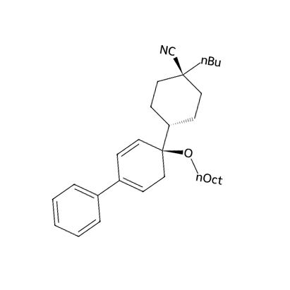 CCCCCCCCO[C@]1([C@H]2CC[C@@](C#N)(CCCC)CC2)C=CC(c2ccccc2)=CC1